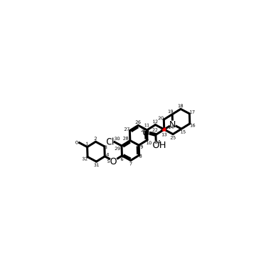 CC1CCC(Oc2ccc3cc(CCN4C5CCCC4CC(C(=O)O)C5)ccc3c2Cl)CC1